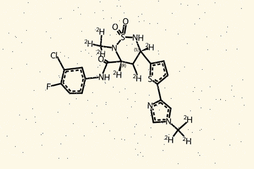 [2H]C1[C@]([2H])(C(=O)Nc2ccc(F)c(Cl)c2)N(C([2H])([2H])[2H])S(=O)(=O)N[C@]1([2H])c1ccc(-c2cn(C([2H])([2H])[2H])cn2)s1